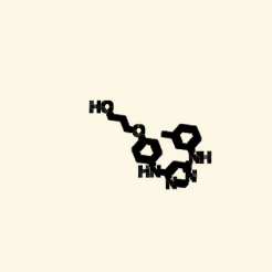 Cc1cccc(Nc2cc(Nc3ccc(OCCCO)cc3)ncn2)c1